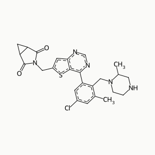 Cc1cc(Cl)cc(-c2ncnc3cc(CN4C(=O)C5CC5C4=O)sc23)c1CN1CCNCC1C